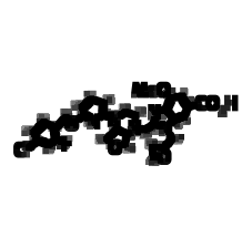 COc1cc(C(=O)O)cc2c1nc(CN1CCN(c3cccc(OCc4ccc(Cl)cc4F)n3)C3COCC31)n2CC1CCO1